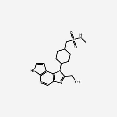 CNS(=O)(=O)CC1CCC(n2c(CO)nc3cnc4[nH]ccc4c32)CC1